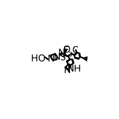 O=C1N=C(N2CCN(CCO)CC2)SC1=C(Cc1ccc(C2CC2)cc1C(F)(F)F)c1ccc2[nH]ncc2c1